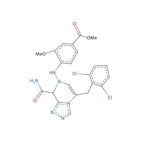 COC(=O)c1ccc(NN2C=C(Cc3c(Cl)cccc3Cl)n3cnnc3C2C(N)=O)c(OC)c1